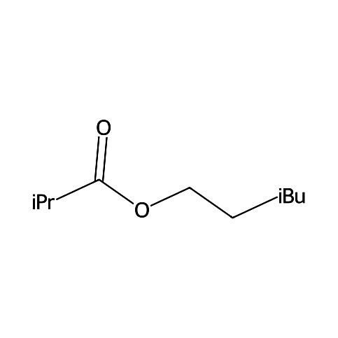 CCC(C)CCOC(=O)C(C)C